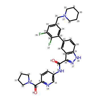 O=C(Nc1ccc(C(=O)N2CCCC2)nc1)c1n[nH]c2ccc(-c3cc(CN4CCCCC4)cc(F)c3F)cc12